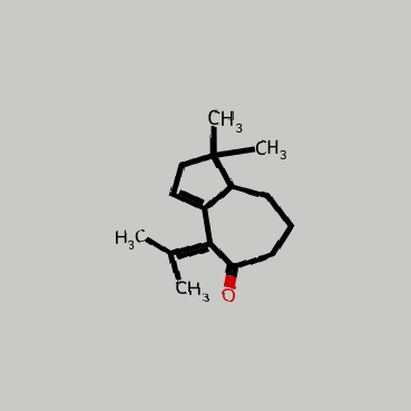 CC(C)=C1C(=O)CCCC2C1=CCC2(C)C